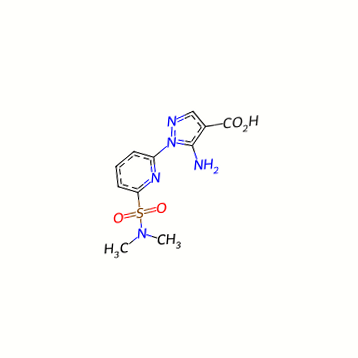 CN(C)S(=O)(=O)c1cccc(-n2ncc(C(=O)O)c2N)n1